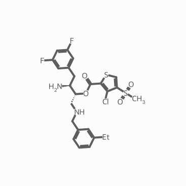 CCc1cccc(CNC[C@@H](OC(=O)c2scc(S(C)(=O)=O)c2Cl)[C@@H](N)Cc2cc(F)cc(F)c2)c1